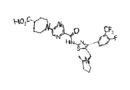 C[C@@H]1CCCN1Cc1sc(NC(=O)c2cnc(N3CCC(C(=O)O)CC3)cn2)nc1-c1ccc(F)c(C(F)(F)F)c1